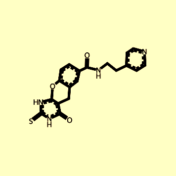 O=C(NCCc1ccncc1)c1ccc2c(c1)Cc1c([nH]c(=S)[nH]c1=O)O2